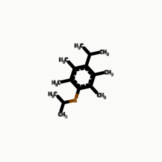 Cc1c(C)c(C(C)C)c(C)c(C)c1SC(C)C